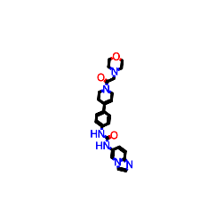 O=C(Nc1ccc(C2=CCN(C(=O)CN3CCOCC3)CC2)cc1)Nc1ccc2nccn2c1